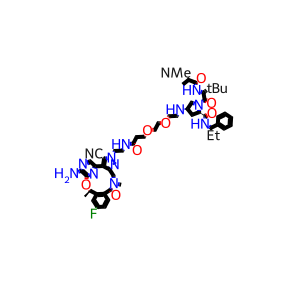 CC[C@@H](NC(=O)[C@@H]1C[C@H](NCCOCCOCCC(=O)NCCn2nc3c(c2C#N)-c2cnc(N)c(n2)O[C@H](C)c2cc(F)ccc2C(=O)N(C)C3)CN1C(=O)C(NC(=O)[C@H](C)NC)C(C)(C)C)c1ccccc1